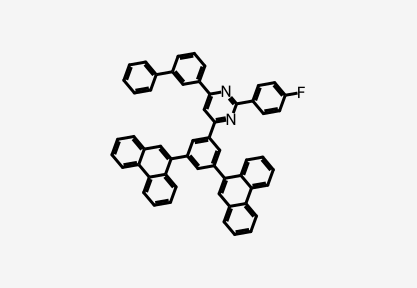 Fc1ccc(-c2nc(-c3cccc(-c4ccccc4)c3)cc(-c3cc(-c4cc5ccccc5c5ccccc45)cc(-c4cc5ccccc5c5ccccc45)c3)n2)cc1